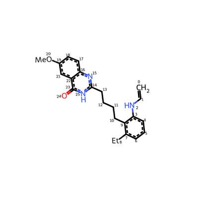 C=CNc1cccc(CC)c1CCCCc1nc2ccc(OC)cc2c(=O)[nH]1